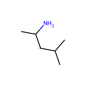 CC(C)[CH]C(C)N